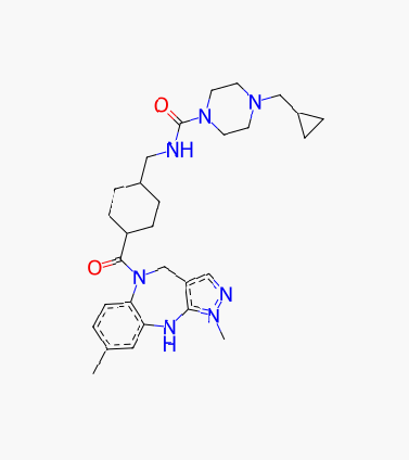 Cc1ccc2c(c1)Nc1c(cnn1C)CN2C(=O)C1CCC(CNC(=O)N2CCN(CC3CC3)CC2)CC1